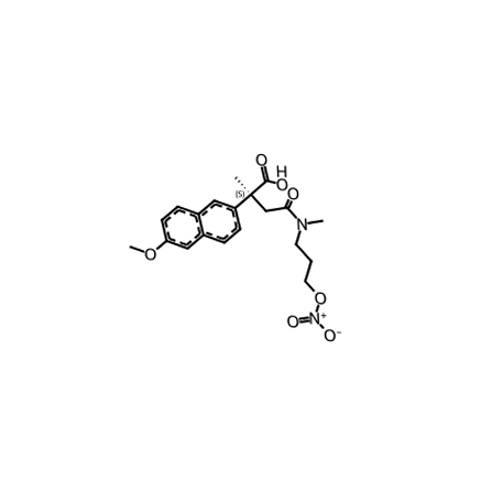 COc1ccc2cc([C@](C)(CC(=O)N(C)CCCO[N+](=O)[O-])C(=O)O)ccc2c1